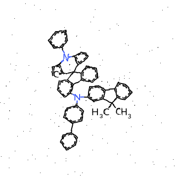 CC1(C)c2ccccc2-c2ccc(N(c3ccc(-c4ccccc4)cc3)c3cccc4c3-c3ccccc3C43c4ccccc4N(c4ccccc4)c4ccccc43)cc21